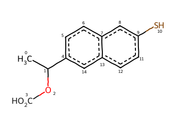 CC(OC(=O)O)c1ccc2cc(S)ccc2c1